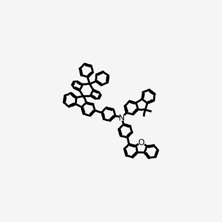 CC1(C)c2ccccc2-c2ccc(N(c3ccc(-c4ccc5c(c4)C4(c6ccccc6-5)c5ccccc5C(c5ccccc5)(c5ccccc5)c5ccccc54)cc3)c3ccc(-c4cccc5c4oc4ccccc45)cc3)cc21